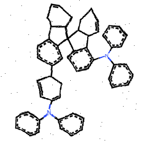 C1=CC2c3c(N(c4ccccc4)c4ccccc4)cccc3C3(c4cc(C5C=CC(N(c6ccccc6)c6ccccc6)=CC5)ccc4C4CC=CCC43)C2CC1